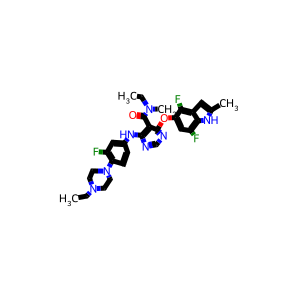 CCN1CCN(c2ccc(Nc3ncnc(Oc4cc(F)c5[nH]c(C)cc5c4F)c3C(=O)N(C)CC)cc2F)CC1